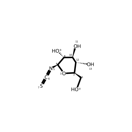 OC[C@H]1O[C@@H](N=C=S)[C@H](O)[C@@H](O)[C@@H]1O